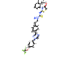 Cc1cccc(N2C(=O)CS/C2=N\C(=S)NCCc2ccc(-c3ncn(-c4ccc(OC(F)(F)F)cc4)n3)cc2)c1C(C)C